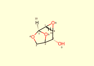 O[C@@H]1C2CO[C@H](O2)[C@@H]2OC12